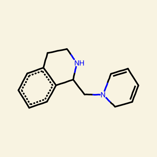 C1=CCN(CC2NCCc3ccccc32)C=C1